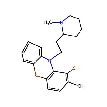 Cc1ccc2c(c1S)N(CCC1CCCCN1C)c1ccccc1S2